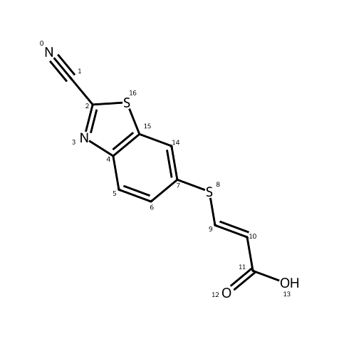 N#Cc1nc2ccc(S/C=C/C(=O)O)cc2s1